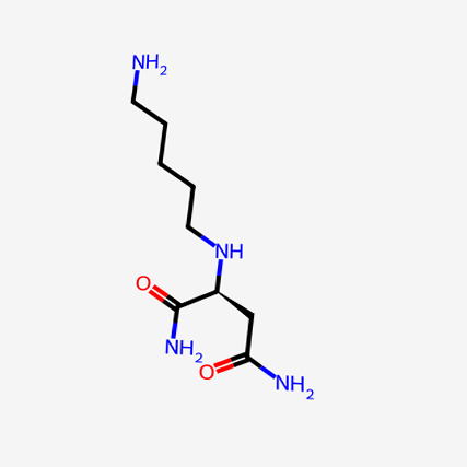 NCCCCCN[C@@H](CC(N)=O)C(N)=O